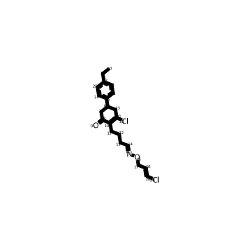 CCc1ccc(C2CC(=O)C(CCCC=NOCC=CCl)=C(Cl)C2)cc1